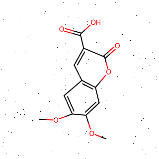 COc1cc2cc(C(=O)O)c(=O)oc2cc1OC